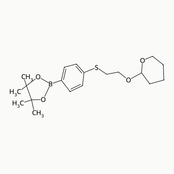 CC1(C)OB(c2ccc(SCCOC3CCCCO3)cc2)OC1(C)C